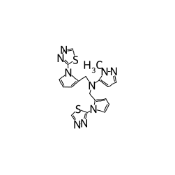 Cn1nccc1N(Cc1cccn1-c1nncs1)Cc1cccn1-c1nncs1